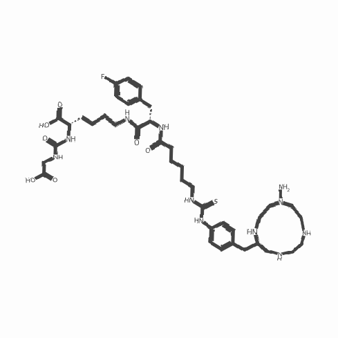 NN1CCNCCNCC(Cc2ccc(NC(=S)NCCCCCC(=O)N[C@@H](Cc3ccc(F)cc3)C(=O)NCCCC[C@H](NC(=O)NCC(=O)O)C(=O)O)cc2)NCC1